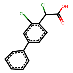 O=C(O)C(Cl)c1ccc(-c2ccccc2)cc1Cl